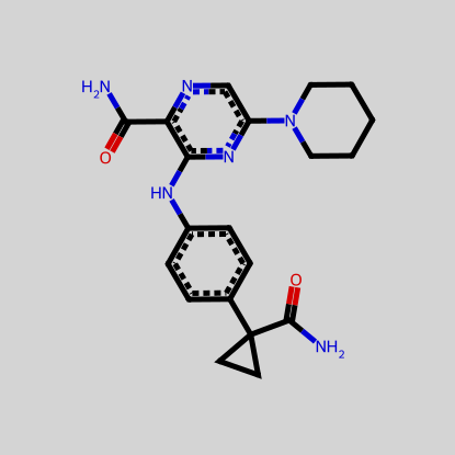 NC(=O)c1ncc(N2CCCCC2)nc1Nc1ccc(C2(C(N)=O)CC2)cc1